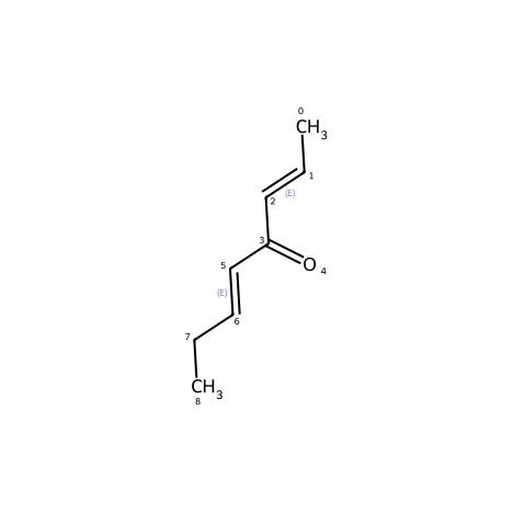 C/C=C/C(=O)/C=C/CC